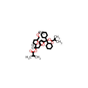 C=C(C)C(=O)OC(C)(Cc1ccc(C(OC(=O)C(=C)C)(C2CCCCC2)C2CCCCC2)o1)C1CCC(COC)O1